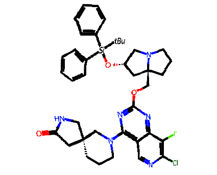 CC(C)(C)[Si](O[C@@H]1CN2CCC[C@]2(COc2nc(N3CCC[C@]4(CNC(=O)C4)C3)c3cnc(Cl)c(F)c3n2)C1)(c1ccccc1)c1ccccc1